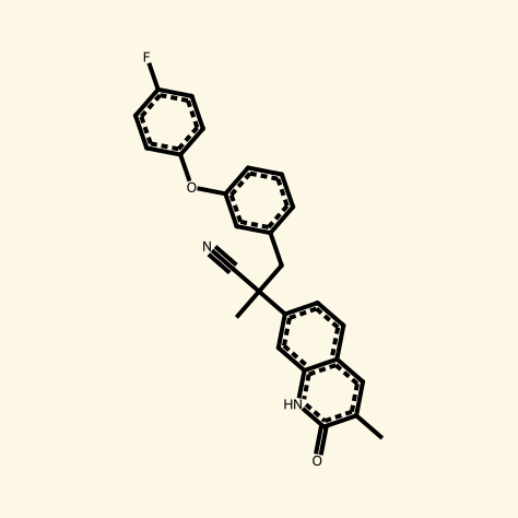 Cc1cc2ccc(C(C)(C#N)Cc3cccc(Oc4ccc(F)cc4)c3)cc2[nH]c1=O